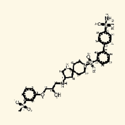 CS(=O)(=O)c1cccc(OCC(O)CNC2COC3(CCN(S(=O)(=O)c4cccc(-c5ccc(S(N)(=O)=O)cc5)c4)CC3)C2)c1